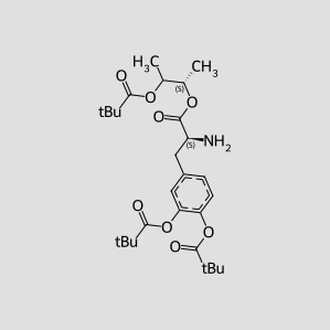 CC(OC(=O)C(C)(C)C)[C@H](C)OC(=O)[C@@H](N)Cc1ccc(OC(=O)C(C)(C)C)c(OC(=O)C(C)(C)C)c1